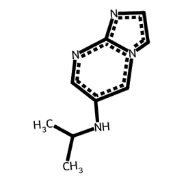 CC(C)Nc1cnc2nccn2c1